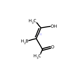 B/C(C(C)=O)=C(\C)O